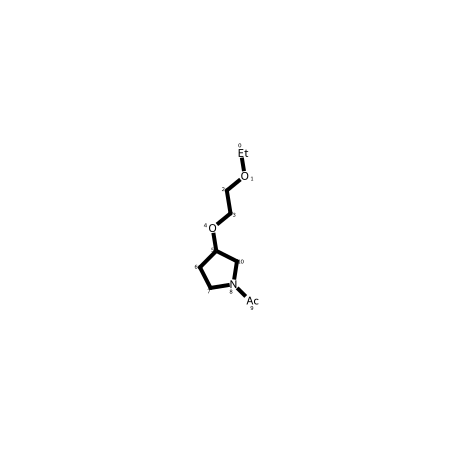 CCOCCOC1CCN(C(C)=O)C1